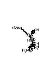 CCCCCCCCCCCCCCCCCCOC[C@H](COP(=O)(O)OC[C@H]1O[C@@](C)(c2ccc3c(N)ncnn23)[C@H](O)[C@@H]1O)OCc1ccc(C#N)cc1